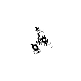 Cc1cc2c(cc1Sc1nc3c(N)ncnc3n1CCCNC(C)(C)C)OCO2